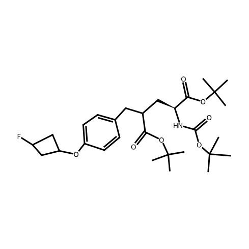 CC(C)(C)OC(=O)N[C@@H](CC(Cc1ccc(OC2CC(F)C2)cc1)C(=O)OC(C)(C)C)C(=O)OC(C)(C)C